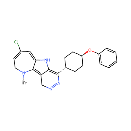 CC(C)N1CC=C(Cl)C=c2[nH]c3c(c21)CN=NC=3[C@H]1CC[C@H](Oc2ccccc2)CC1